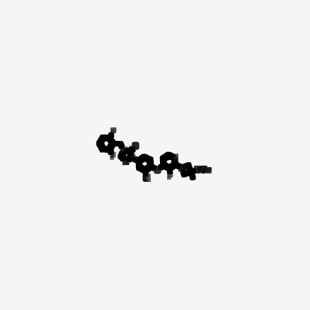 COC1(C)CN(c2nccc(Oc3ccc(-n4ncn(Cc5c(F)cccc5F)c4=O)cc3Cl)c2F)C1